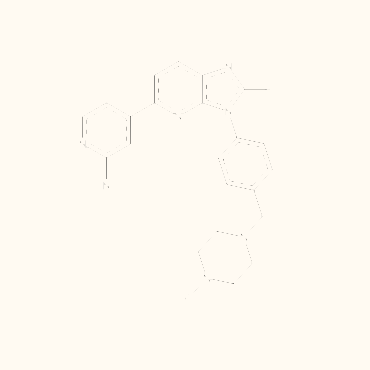 Cc1nc2ccc(-c3ccnc(N)c3)nc2n1-c1ccc(CN2CCN(C)CC2)cc1